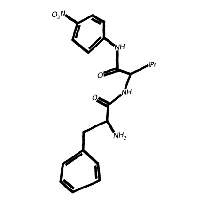 CC(C)C(NC(=O)C(N)Cc1ccccc1)C(=O)Nc1ccc([N+](=O)[O-])cc1